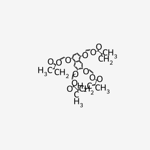 C=C(C)C(=O)O/C=C\Oc1cc2c(O/C=C\OC(=O)C(=C)C)ccc(O/C=C\OC(=O)C(=C)C)c2cc1O/C=C\OC(=O)C(=C)C